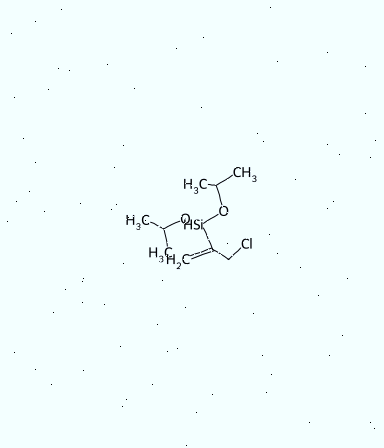 C=C(CCl)[SiH](OC(C)C)OC(C)C